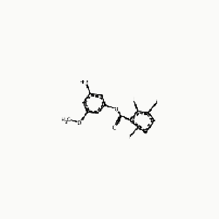 COc1cc(O)cc(OC(=O)c2c(I)ccc(I)c2I)c1